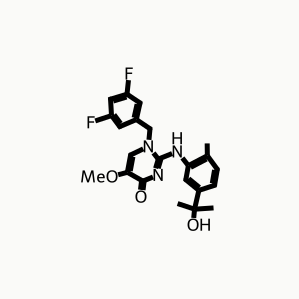 COc1cn(Cc2cc(F)cc(F)c2)c(Nc2cc(C(C)(C)O)ccc2C)nc1=O